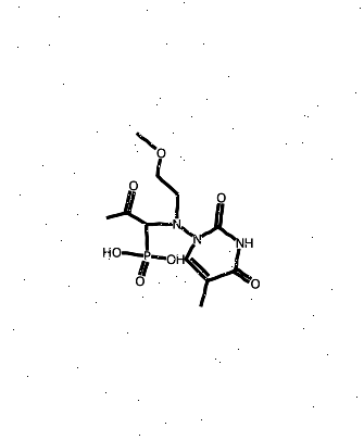 COCCN(C(C(C)=O)P(=O)(O)O)n1cc(C)c(=O)[nH]c1=O